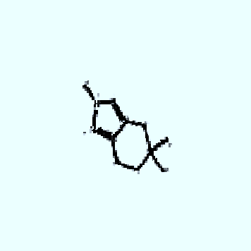 Cn1cc2c(n1)CCC(C)(C)C2